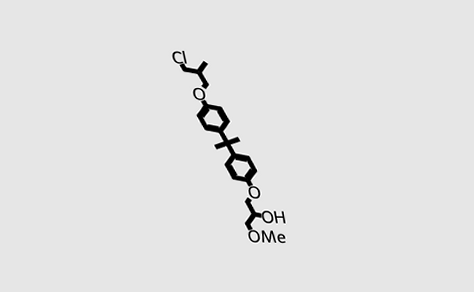 COCC(O)COc1ccc(C(C)(C)c2ccc(OCC(C)CCl)cc2)cc1